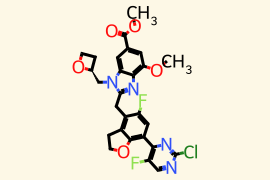 COC(=O)c1cc(OC)c2nc(Cc3c(F)cc(-c4nc(Cl)ncc4F)c4c3CCO4)n(C[C@@H]3CCO3)c2c1